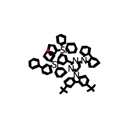 CC(C)(C)c1ccc2c(c1)c1cc(C(C)(C)C)ccc1n2-c1cc(-n2c3ccccc3c3ccccc32)nc(-c2cc([Si](c3ccccc3)(c3ccccc3)c3ccccc3)cc([Si](c3ccccc3)(c3ccccc3)c3cccc(-c4ccccc4)c3)c2)n1